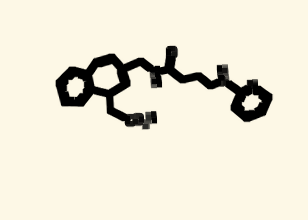 O=C(O)CC1C=C(CNC(=O)CCCNc2ccccn2)C=Cc2ccccc21